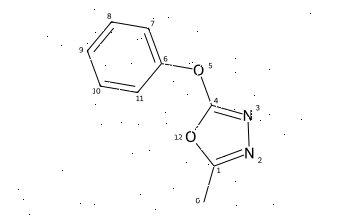 Cc1nnc(Oc2ccccc2)o1